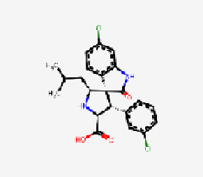 CC(C)C[C@@H]1N[C@H](C(=O)O)[C@@H](c2cccc(Cl)c2)[C@]12C(=O)Nc1cc(Cl)ccc12